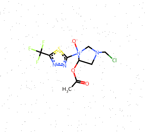 CC(=O)OC1CN(CCl)C[N+]1([O-])c1nnc(C(F)(F)F)s1